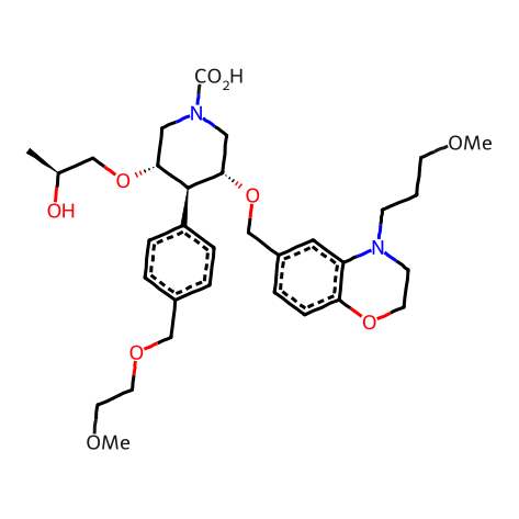 COCCCN1CCOc2ccc(CO[C@H]3CN(C(=O)O)C[C@@H](OC[C@H](C)O)[C@@H]3c3ccc(COCCOC)cc3)cc21